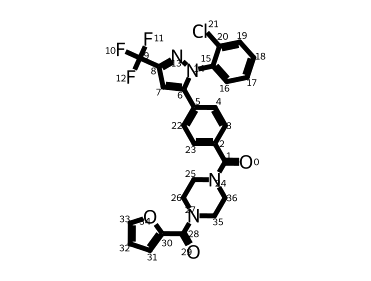 O=C(c1ccc(-c2cc(C(F)(F)F)nn2-c2ccccc2Cl)cc1)N1CCN(C(=O)c2ccco2)CC1